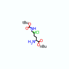 CCCCOC(=O)[C@@H](N)CCCCNC(=O)OC(C)(C)C.Cl